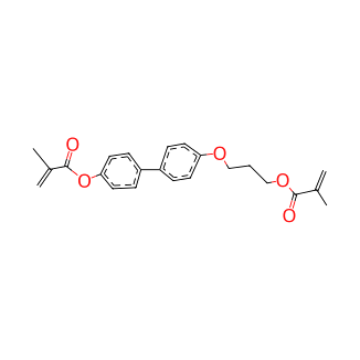 C=C(C)C(=O)OCCCOc1ccc(-c2ccc(OC(=O)C(=C)C)cc2)cc1